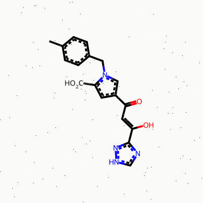 Cc1ccc(Cn2cc(C(=O)C=C(O)c3nc[nH]n3)cc2C(=O)O)cc1